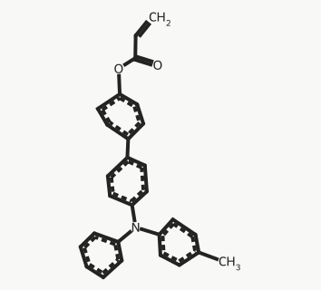 C=CC(=O)Oc1ccc(-c2ccc(N(c3ccccc3)c3ccc(C)cc3)cc2)cc1